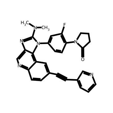 CN(C)c1nc2cnc3ccc(C#Cc4cccnc4)cc3c2n1-c1ccc(N2CCCC2=O)c(F)c1